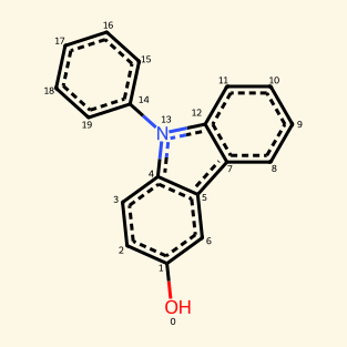 Oc1ccc2c(c1)c1ccccc1n2-c1ccccc1